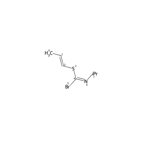 C/C=C/S/C(Br)=N\C(C)C